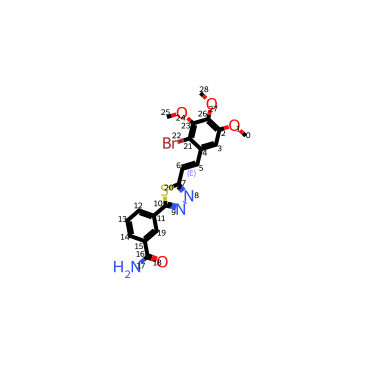 COc1cc(/C=C/c2nnc(-c3cccc(C(N)=O)c3)s2)c(Br)c(OC)c1OC